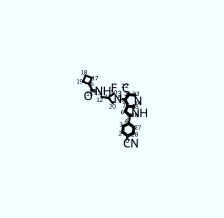 N#Cc1ccc(-c2cc3c(N4CC(CNC(=O)C5CCC5)C4)c(C(F)(F)F)cnc3[nH]2)cc1